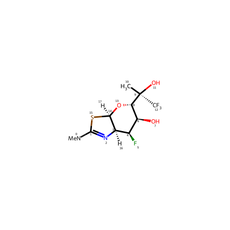 CNC1=N[C@@H]2[C@H](F)[C@H](O)[C@@H]([C@@](C)(O)C(F)(F)F)O[C@@H]2S1